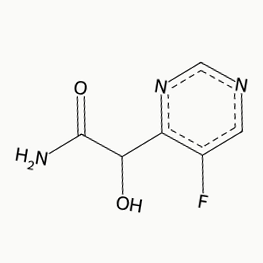 NC(=O)C(O)c1ncncc1F